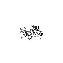 C=CC(=O)N1CCC[C@]1(C)C#Cc1cnccc1-c1[nH]c2c(c1Nc1cccc(F)c1CC)C(=O)NCC2